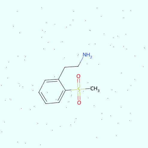 CS(=O)(=O)c1ccccc1CCN